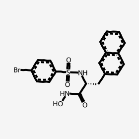 O=C(NO)[C@@H](Cc1ccc2ccccc2c1)NS(=O)(=O)c1ccc(Br)cc1